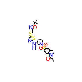 C=CC(=O)N1CCc2cc(S(=O)(=O)N3CCC[C@@H](Nc4ncc(SCc5ncc(C(C)(C)C)o5)s4)C3)ccc21